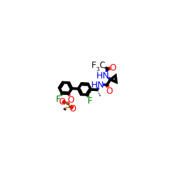 C[C@@H](NC(=O)C1(NC(=O)C(F)(F)F)CC1)c1ccc(-c2cccc(F)c2OS(C)(=O)=O)cc1F